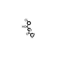 O=C(c1cncnc1)c1cc([C@@H](O)c2cccc(Cl)c2)co1